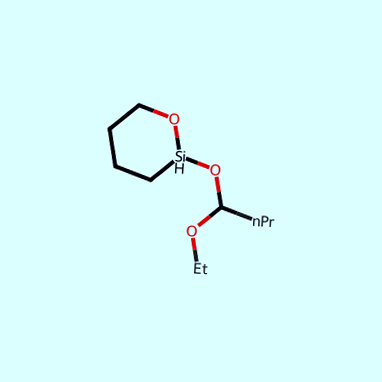 CCCC(OCC)O[SiH]1CCCCO1